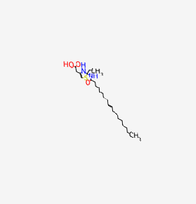 CCCCCCCC/C=C/CCCCCCCC(=O)NC1(CC)NC(CC(=O)O)=CS1